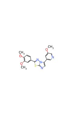 COc1cncc(-c2cnc3sc(-c4ccc(OC)c(OC)c4)nn23)c1